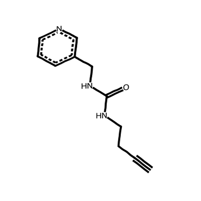 C#CCCNC(=O)NCc1cccnc1